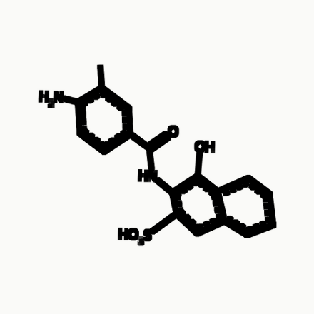 Cc1cc(C(=O)Nc2c(S(=O)(=O)O)cc3ccccc3c2O)ccc1N